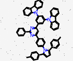 Cc1ccc(-c2ccc(-c3ccc(C)cc3)n2-c2ccc(-c3cc(-c4cc(-n5c6ccccc6c6ccccc65)cc(-n5c6ccccc6c6ccccc65)c4)nc(-c4ccccc4)n3)cc2)cc1